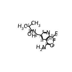 CC(C)C(=O)NCc1cnc(C(F)F)c(C(N)=O)c1